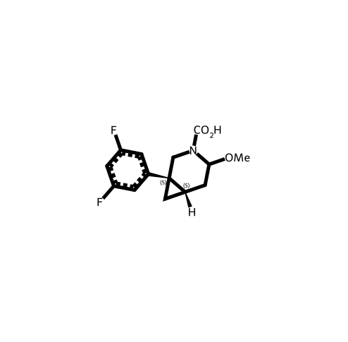 COC1C[C@@H]2C[C@]2(c2cc(F)cc(F)c2)CN1C(=O)O